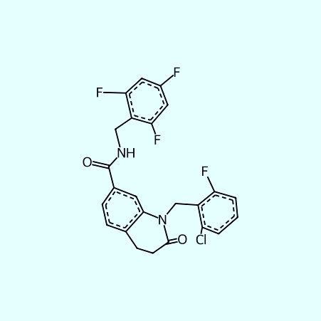 O=C(NCc1c(F)cc(F)cc1F)c1ccc2c(c1)N(Cc1c(F)cccc1Cl)C(=O)CC2